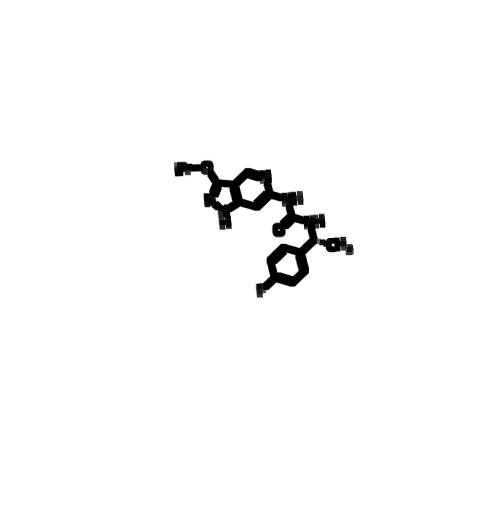 CC(C)Oc1n[nH]c2cc(NC(=O)N[C@H](C)c3ccc(F)cc3)ncc12